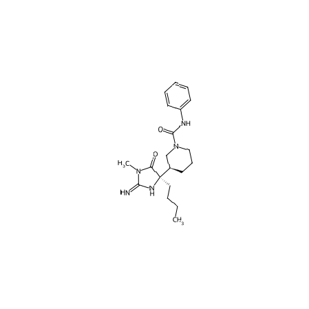 CCCC[C@]1([C@@H]2CCCN(C(=O)Nc3ccccc3)C2)NC(=N)N(C)C1=O